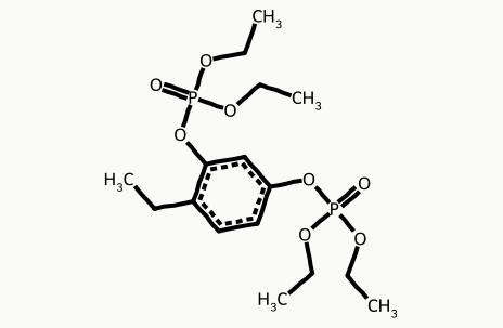 CCOP(=O)(OCC)Oc1ccc(CC)c(OP(=O)(OCC)OCC)c1